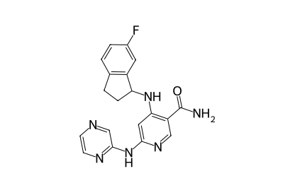 NC(=O)c1cnc(Nc2cnccn2)cc1NC1CCc2ccc(F)cc21